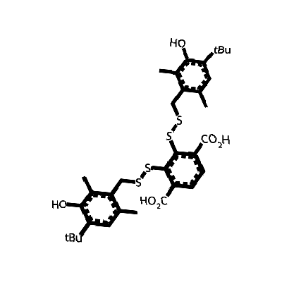 Cc1cc(C(C)(C)C)c(O)c(C)c1CSSc1c(C(=O)O)ccc(C(=O)O)c1SSCc1c(C)cc(C(C)(C)C)c(O)c1C